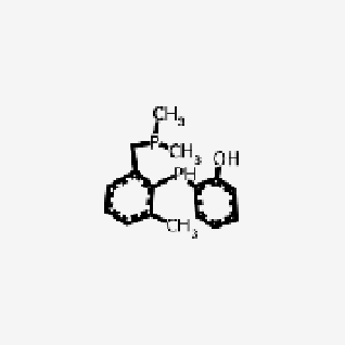 Cc1cccc(CP(C)C)c1Pc1ccccc1O